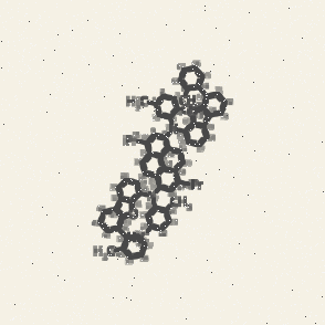 Cc1ccc(C)c(N(c2cc(C(C)C)c3ccc4c(N(c5cc(C)ccc5C)c5cccc6c5oc5c(-c7ccccc7C)cccc56)cc(C(C)C)c5ccc2c3c54)c2cccc3c2oc2c(-c4ccccc4C)cccc23)c1